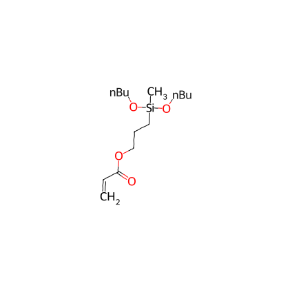 C=CC(=O)OCCC[Si](C)(OCCCC)OCCCC